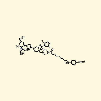 CCCC(C)c1ccc(NCCCCCCCCC(=O)N2CCN(CC3(NC(=O)c4cc(F)ccc4F)CCN(c4ccc(C5=CC(OCC)=CN/C5=C(/C#N)C=N)cn4)CC3)CC2)cc1